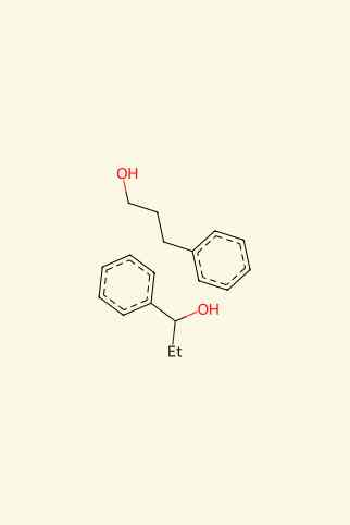 CCC(O)c1ccccc1.OCCCc1ccccc1